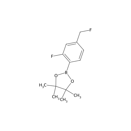 CC1(C)OB(c2ccc(CF)cc2F)OC1(C)C